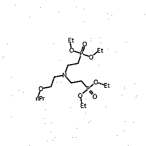 CCCOCCN(CCP(=O)(OCC)OCC)CCP(=O)(OCC)OCC